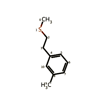 CSCCc1cccc(C)c1